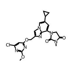 COc1nc(Cl)cc(OCc2cn3cc(C4CC4)cc(N4CC(=O)N(C)C4=O)c3n2)n1